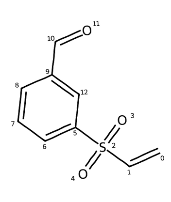 C=CS(=O)(=O)c1cccc(C=O)c1